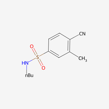 CCCCNS(=O)(=O)c1ccc(C#N)c(C)c1